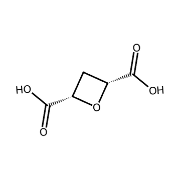 O=C(O)[C@@H]1C[C@H](C(=O)O)O1